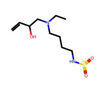 C=CC(O)CN(CC)CCCCN[SH](=O)=O